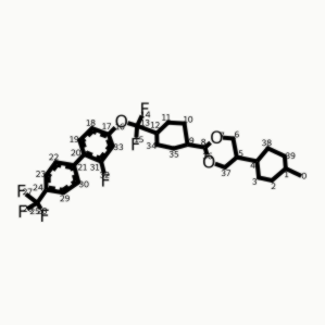 CC1CCC(C2COC(C3CCC(C(F)(F)Oc4ccc(-c5ccc(C(F)(F)F)cc5)c(F)c4)CC3)OC2)CC1